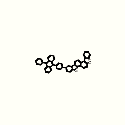 c1ccc(-c2c3ccccc3c(-c3ccc(-c4ccc5sc6c(ccc7c6ccc6sc8ccccc8c67)c5c4)cc3)c3ccccc23)cc1